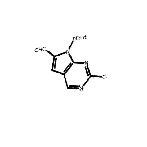 CCCCCn1c(C=O)cc2cnc(Cl)nc21